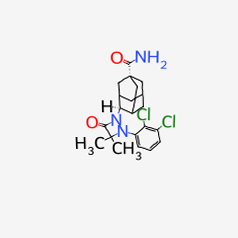 CC1(C)C(=O)N([C@H]2C3CC4CC2C[C@](C(N)=O)(C4)C3)N1c1cccc(Cl)c1Cl